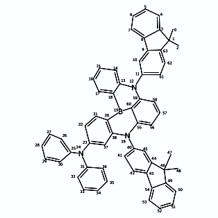 CC1(C)c2ccccc2-c2cc(N3c4ccccc4B4c5ccc(N(c6ccccc6)c6ccccc6)cc5N(c5ccc6c(c5)C(C)(C)c5ccccc5-6)c5cccc3c54)ccc21